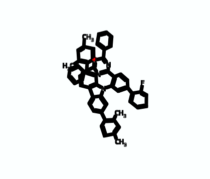 Cc1ccc(-c2ccc3c4ccc(-c5ccc(C)cc5C)cc4n(-c4cc(-c5ccccc5F)ccc4-c4nc(-c5ccccc5)nc(-c5ccccc5)n4)c3c2)c(C)c1